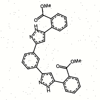 COC(=O)c1ccccc1-c1cc(-c2cccc(-c3cc(-c4ccccc4C(=O)OC)[nH]n3)c2)n[nH]1